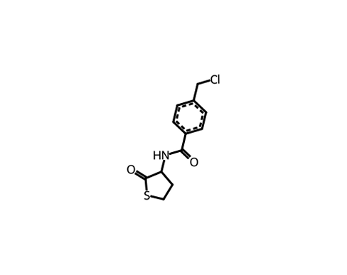 O=C(NC1CCSC1=O)c1ccc(CCl)cc1